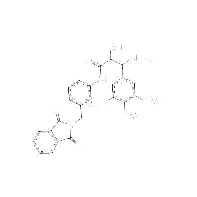 CCCCCC(c1cc(OC)c(OC)c(OC)c1)C(C(=O)Nc1cccc(CN2C(=O)c3ccccc3C2=O)c1)C(C)(C)C